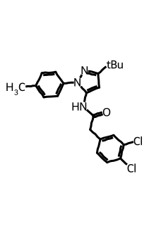 Cc1ccc(-n2nc(C(C)(C)C)cc2NC(=O)Cc2ccc(Cl)c(Cl)c2)cc1